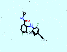 C#Cc1ccc(Nc2c(C(=O)NC3CC3)ccc(F)c2OC)c(Cl)c1